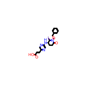 O=C(O)C=Cc1cnc(N[C@@H]2CCC(=O)N(OCc3ccccc3)C2I)cn1